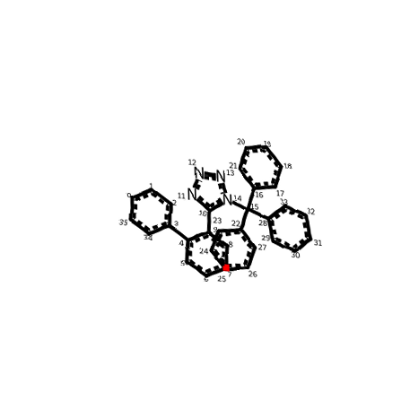 c1ccc(-c2ccccc2-c2nnnn2C(c2ccccc2)(c2ccccc2)c2ccccc2)cc1